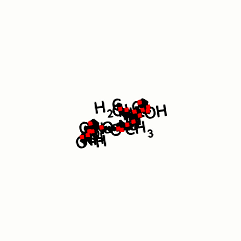 C=CC(=O)N1CCN(c2nc(O[C@H](C)CN3CCC(OCCOCCNc4cccc5c4C(=O)N(C4CCC(=O)NC4=O)C5=O)CC3)nc3c(F)c(-c4cc(O)cc5ccccc45)c(Cl)cc23)CC1